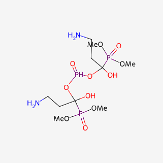 COP(=O)(OC)C(O)(CCN)O[PH](=O)OC(O)(CCN)P(=O)(OC)OC